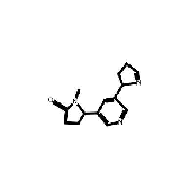 CN1C(=O)CCC1c1cncc(C2CCC=N2)c1